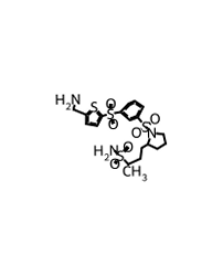 C[C@@H](CCC1CCCN1S(=O)(=O)c1cccc(S(=O)(=O)c2ccc(CN)s2)c1)S(N)(=O)=O